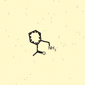 CC(=O)c1cc[c]cc1CN